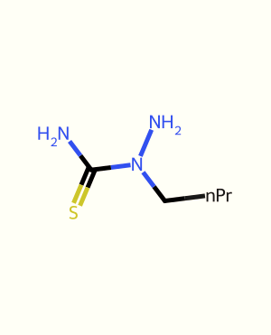 CCCCN(N)C(N)=S